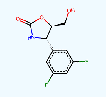 O=C1N[C@@H](c2cc(F)cc(F)c2)[C@H](CO)O1